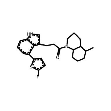 CC1CCCC2C1CCCN2C(=O)CCc1c[nH]c2cccc(-c3ccc(F)s3)c12